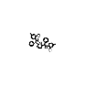 Cc1ccc(/N=C(\c2ccccc2)c2cccc(/C(=N/c3ccc(C)cc3Cl)c3ccccc3)n2)c(Cl)c1